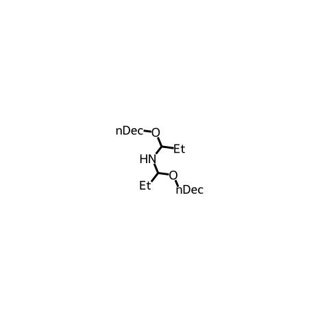 CCCCCCCCCCOC(CC)NC(CC)OCCCCCCCCCC